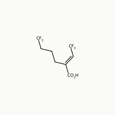 O=C(O)C(=CC(F)(F)F)CCCC(F)(F)F